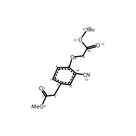 COC(=O)Cc1ccc(OCC(=O)OC(C)(C)C)c(C#N)c1